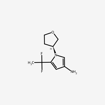 CC(F)(F)c1cc(N)cn1[C@H]1CCOC1